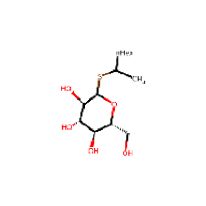 CCCCCCC(C)SC1O[C@H](CO)[C@@H](O)[C@H](O)[C@H]1O